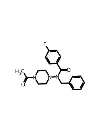 CC(=O)N1CCN(N(Cc2ccccc2)C(=O)c2ccc(F)cc2)CC1